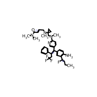 CC/C=C(\F)c1cc(/C(=C(\CC(F)(F)F)c2ccccc2)c2ccc(N(C)CC3(N(C)C/C=C/C(=O)N(C)C)CC3)nc2)ccc1N